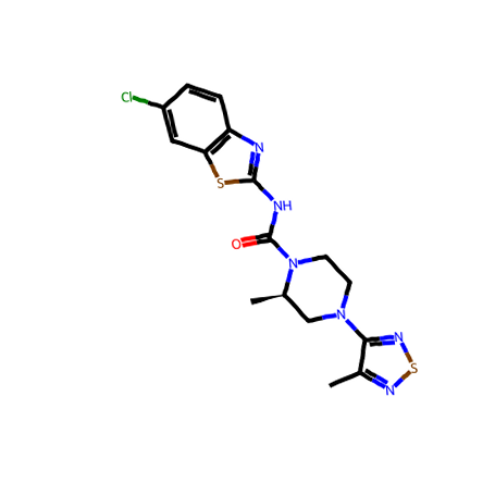 Cc1nsnc1N1CCN(C(=O)Nc2nc3ccc(Cl)cc3s2)[C@H](C)C1